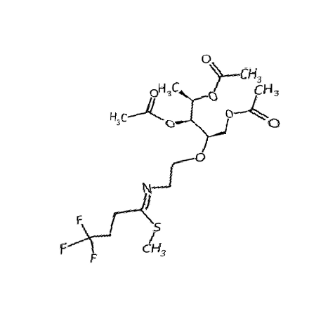 CS/C(CCC(F)(F)F)=N\CCO[C@H](COC(C)=O)[C@@H](OC(C)=O)[C@@H](C)OC(C)=O